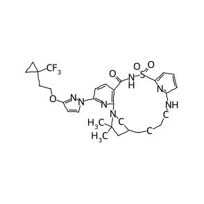 CC1(C)CC2CCCCNc3cccc(n3)S(=O)(=O)NC(=O)c3ccc(-n4ccc(OCCC5(C(F)(F)F)CC5)n4)nc3N1C2